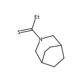 CCC(=S)N1CC2CCC(CC2)C1